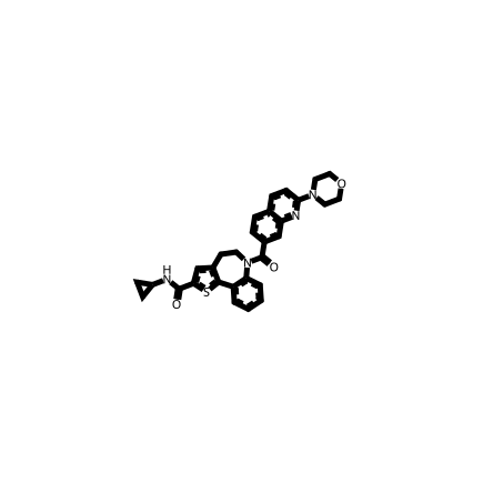 O=C(NC1CC1)c1cc2c(s1)-c1ccccc1N(C(=O)c1ccc3ccc(N4CCOCC4)nc3c1)CC2